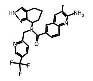 Cc1cc2cc(C(=O)N(Cc3ccc(C(F)(F)F)cn3)C3CCCc4c[nH]nc43)ccc2nc1N